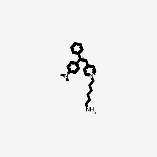 CN(C)c1ccc(/C(=C\c2cc[n+](CCCCCCN)cc2)c2ccccc2)cc1